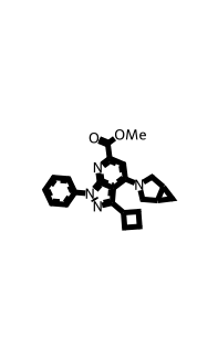 COC(=O)c1cc(N2CC3CC3C2)c2c(C3CCC3)nn(-c3ccccc3)c2n1